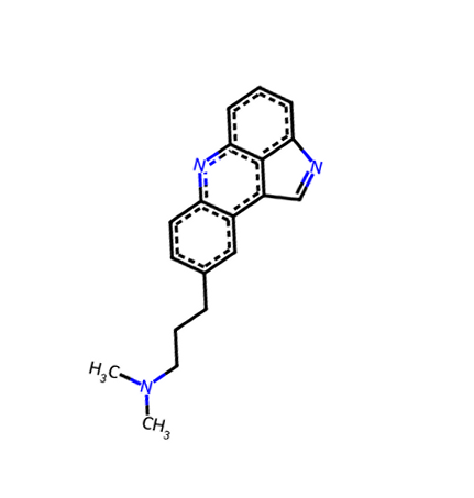 CN(C)CCCc1ccc2nc3cccc4c3c(c2c1)C=N4